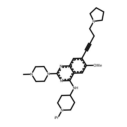 COc1cc2c(NC3CCN(C(C)C)CC3)nc(N3CCN(C)CC3)nc2cc1C#CCCN1CCCC1